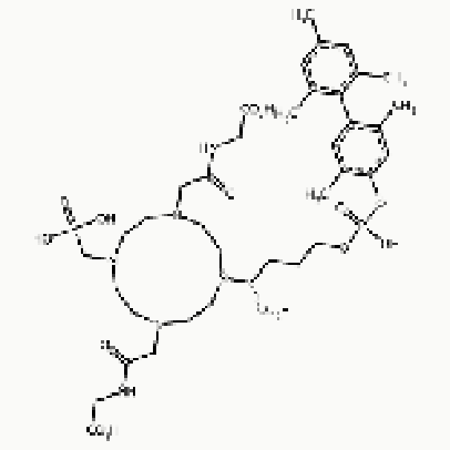 Cc1cc(C)c(-c2cc(C)c(OP(=O)(O)OCCC[C@H](C(=O)O)N3CCN(CC(=O)NCC(=O)O)CCN(CP(=O)(O)O)CCN(CC(=O)NCC(=O)O)CC3)cc2C)c(C)c1